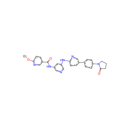 CCOc1ccc(C(=O)Nc2cncc(Nc3ccc(-c4ccc(N5CCCC5=O)cc4)cn3)c2)cn1